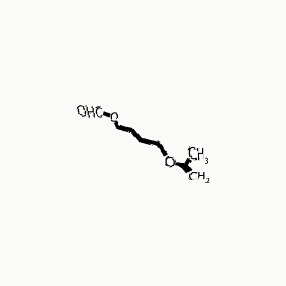 C=C(C)OCCCCOC=O